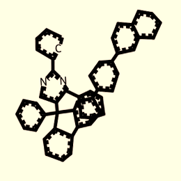 c1ccc(-c2ncc(C3(c4ccccc4)c4ccccc4-c4ccc(-c5ccc(-c6ccc7ccccc7c6)cc5)cc43)c(-c3ccccc3)n2)cc1